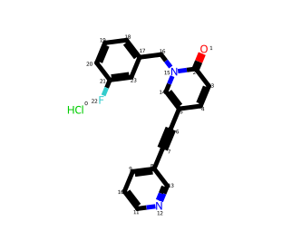 Cl.O=c1ccc(C#Cc2cccnc2)cn1Cc1cccc(F)c1